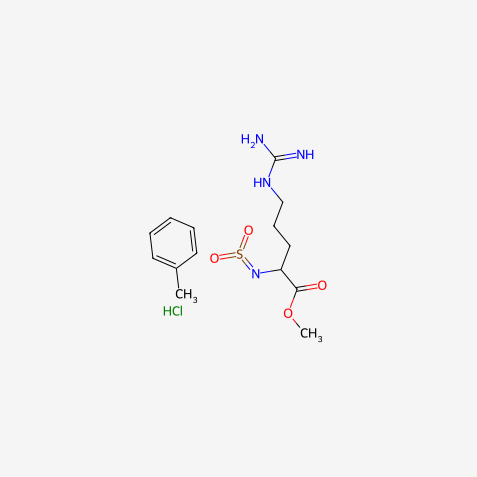 COC(=O)C(CCCNC(=N)N)N=S(=O)=O.Cc1ccccc1.Cl